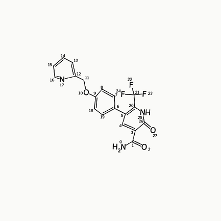 NC(=O)c1cc(-c2ccc(OCc3ccccn3)cc2)c(C(F)(F)F)[nH]c1=O